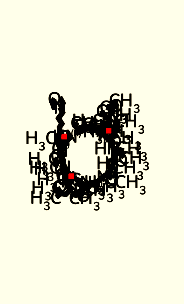 CC[C@H]1NC(=O)[C@H]2[C@H]([C@@H](C)CCCCCN3CCOCC3)ON2C(=O)[C@H](C(C)C)N(C)C(=O)[C@H]2CC(C)N(C(=O)[C@@H](C)NC(=O)[C@H](CC(C)C)N(C)C(=O)[C@@H](C(C)C)NC(=O)[C@@H](C(C)(C)CN(C)C(=O)[C@@H](NC(=O)OC)C(C)C)N(C)C(=O)[C@@H](C)N(C)C1=O)[C@@H](C)C(=O)N(C)C(CC(C)C)C(=O)N2C